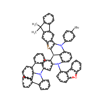 CC(C)(C)c1ccc(N2c3cccc4c3B(c3ccc(N(c5ccccc5-c5ccccc5)c5ccccc5-c5ccccc5)cc3N4c3cccc4oc5ccccc5c34)c3sc4cc5c(cc4c32)-c2ccccc2C5(C)C)cc1